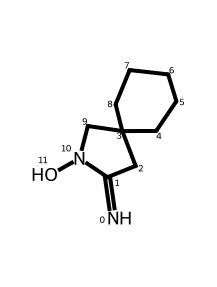 N=C1CC2(CCCCC2)CN1O